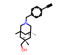 C#Cc1ccc(CN2CC3(C)C[C@@](C)(CO)C[C@](C)(C2)C3)cc1